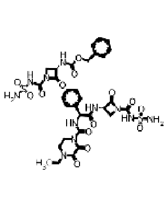 CCN1CCN(C(=O)NC(C(=O)N[C@H]2CN(C(=O)NS(N)(=O)=O)C2=O)c2ccccc2)C(=O)C1=O.NS(=O)(=O)NC(=O)N1C[C@H](NC(=O)OCc2ccccc2)C1=O